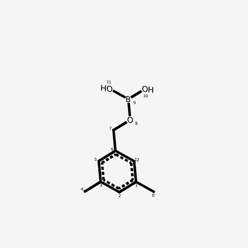 Cc1cc(C)cc(COB(O)O)c1